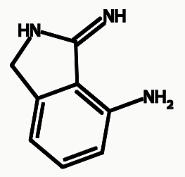 N=C1NCc2cccc(N)c21